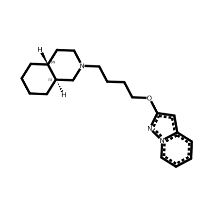 c1ccn2nc(OCCCCN3CC[C@H]4CCCC[C@@H]4C3)cc2c1